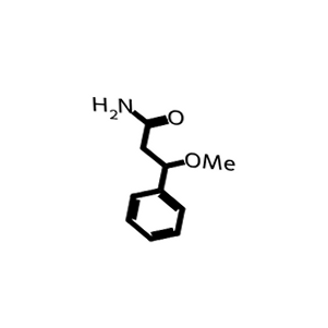 COC(CC(N)=O)c1ccccc1